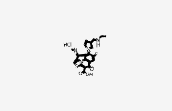 CCNCC1CCN(c2c(F)cc3c(=O)c(C(=O)O)c4scc5c(=NC)c2c3n45)C1.Cl